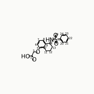 O=C(O)COc1cccc2c1CCCC2NS(=O)(=O)c1ccccc1